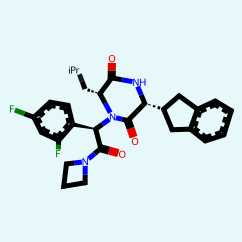 CC(C)C[C@@H]1C(=O)N[C@H](C2Cc3ccccc3C2)C(=O)N1[C@@H](C(=O)N1CCC1)c1ccc(F)cc1F